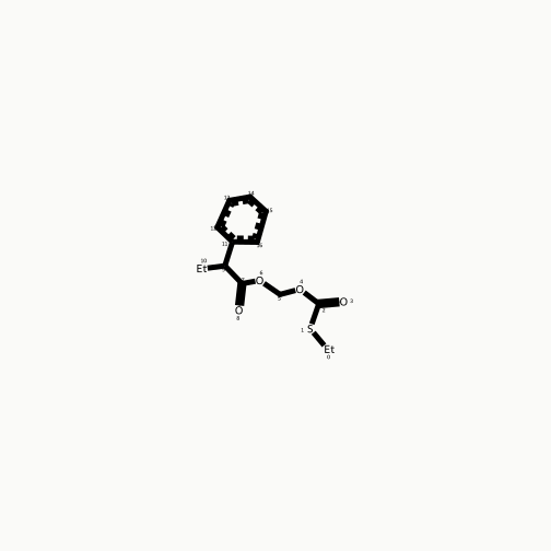 CCSC(=O)OCOC(=O)C(CC)c1ccccc1